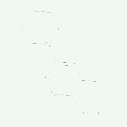 CCOC(=O)c1ncc(N2CCOCC2)cc1Cl